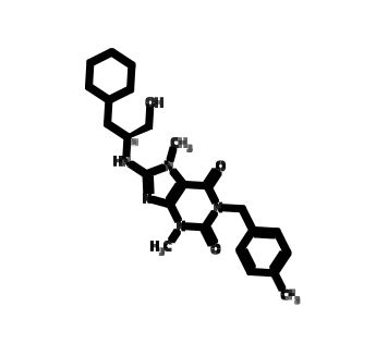 Cn1c(N[C@H](CO)CC2CCCCC2)nc2c1c(=O)n(Cc1ccc(C(F)(F)F)cc1)c(=O)n2C